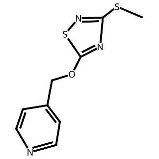 CSc1nsc(OCc2ccncc2)n1